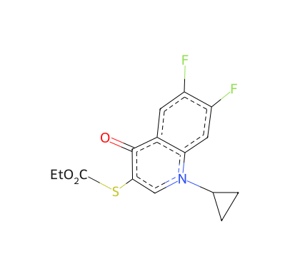 CCOC(=O)Sc1cn(C2CC2)c2cc(F)c(F)cc2c1=O